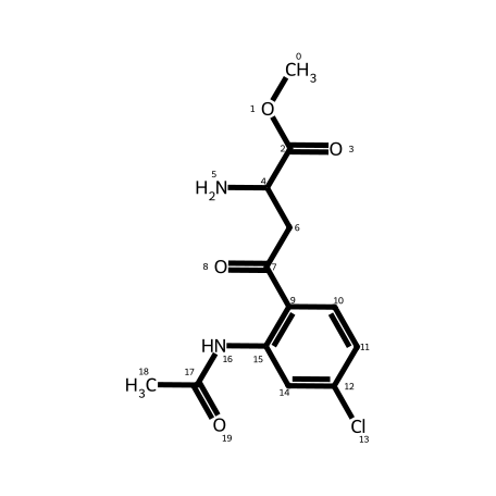 COC(=O)C(N)CC(=O)c1ccc(Cl)cc1NC(C)=O